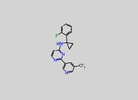 Fc1ccccc1C1(Nc2ccnc(-c3cncc(C(F)(F)F)c3)n2)CC1